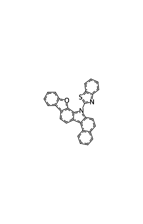 c1ccc2c(c1)ccc1c2c2ccc3c4ccccc4oc3c2n1-c1nc2ccccc2s1